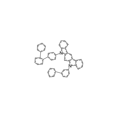 c1ccc(-c2cccc(-n3c4ccccc4c4cc5c6ccccc6n(-c6ccc(-c7ccccc7-c7ccccc7)cc6)c5cc43)c2)cc1